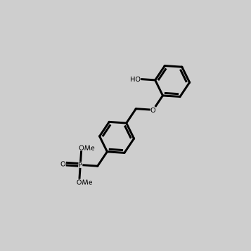 COP(=O)(Cc1ccc(COc2ccccc2O)cc1)OC